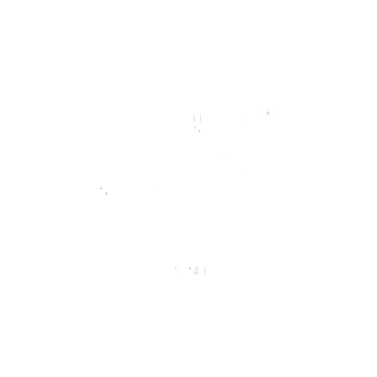 CC(=O)Nc1ccc(S(=O)(=O)CC(C)(O)CNc2ccc(C#N)c(C(F)(F)F)c2)cc1